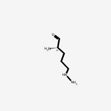 NNCCC[C@H](N)C=O